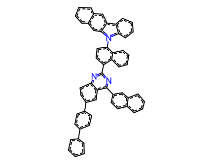 c1ccc(-c2ccc(-c3ccc4nc(-c5ccc(-n6c7ccccc7c7cc8ccccc8cc76)c6ccccc56)nc(-c5ccc6ccccc6c5)c4c3)cc2)cc1